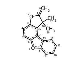 C=C1Oc2ccc3oc4ccccc4c3c2C1(C)C